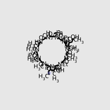 C/C=C/C[C@@H](C)[C@@H](O)[C@H]1C(=O)N[C@@H](CC)C(=O)N(C)[C@H](C)C(=O)N(C)[C@@H]([C@H](C)CCC(C)(C)O)C(=O)N[C@@H](C(C)C)C(=O)N(C)[C@@H](CC(C)C)C(=O)N[C@@H](C)C(=O)N[C@H](C)C(C)N(C)[C@@H](CC(C)C)C(=O)N(C)[C@@H](CC(C)C)C(=O)N(C)[C@@H](C(C)C)C(=O)N1C